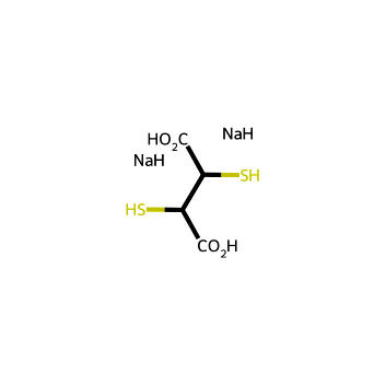 O=C(O)C(S)C(S)C(=O)O.[NaH].[NaH]